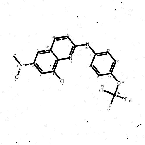 C[S+]([O-])c1cc(Cl)c2nc(Nc3ccc(OC(F)(F)Cl)cc3)ccc2c1